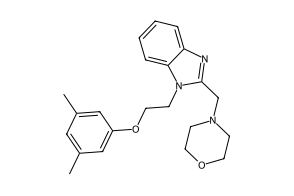 Cc1cc(C)cc(OCCn2c(CN3CCOCC3)nc3ccccc32)c1